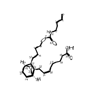 CCCCNC(=O)OCCCC[C@H]1[C@@H](C/C=C\CCCC(=O)O)[C@H]2CC[C@@H]1O2